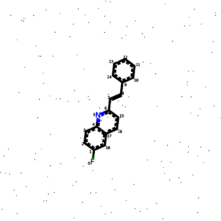 Fc1ccc2nc(C=Cc3ccccc3)ccc2c1